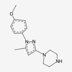 COc1ccc(-n2nc(N3CCNCC3)cc2C)cc1